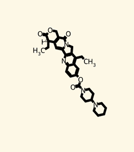 CCc1c2c(nc3ccc(OC(=O)N4CCC(N5CCCCC5)CC4)cc13)-c1cc3c(c(=O)n1C2)COC(=O)[C@]3(I)CC